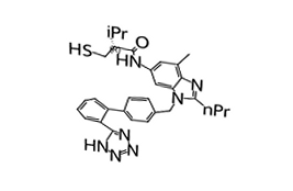 CCCc1nc2c(C)cc(NC(=O)[C@H](CS)C(C)C)cc2n1Cc1ccc(-c2ccccc2-c2nnn[nH]2)cc1